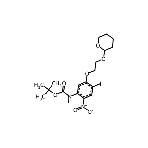 CC(C)(C)OC(=O)Nc1cc(OCCOC2CCCCO2)c(I)cc1[N+](=O)[O-]